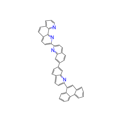 c1ccc2c(c1)cc(-c1ccc3ccc(-c4ccc5ccc(-c6ccc7ccc8cccnc8c7n6)nc5c4)cc3n1)c1ccccc12